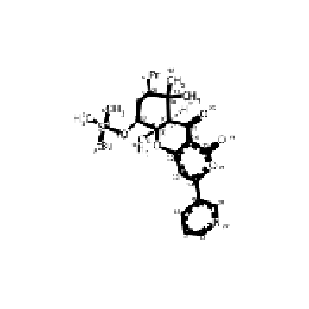 CC(C)[C@@H]1C[C@H](O[Si](C)(C)C(C)(C)C)[C@@]2(C)Oc3cc(-c4cccnc4)oc(=O)c3C(=O)[C@@H]2C1(C)C